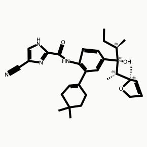 CC[C@@H](C)[C@](O)(c1ccc(NC(=O)c2nc(C#N)c[nH]2)c(C2=CCC(C)(C)CC2)c1)[C@@H](C)[C@@]1(C)C=CCO1